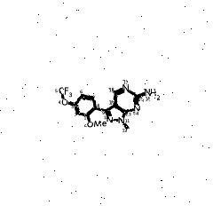 COc1cc(OC(F)(F)F)ccc1-c1nn(C)c2nc(N)ncc12